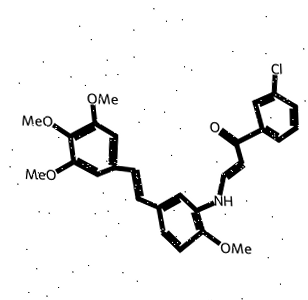 COc1ccc(C=Cc2cc(OC)c(OC)c(OC)c2)cc1NC=CC(=O)c1cccc(Cl)c1